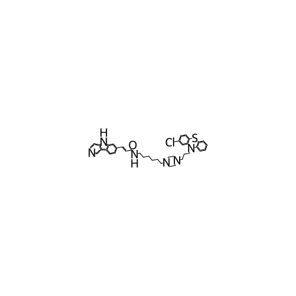 O=C(C=Cc1ccc2c(c1)[nH]c1ccncc12)NCCCCCCN1CCN(CCCN2c3ccccc3Sc3ccc(Cl)cc32)CC1